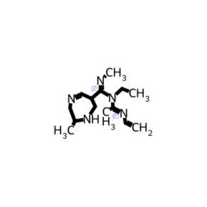 C=C/N=C(\C)N(CC)/C(=N\C)C1C=NCC(C)NC1